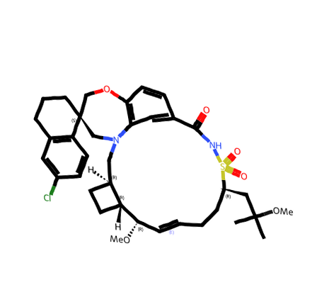 CO[C@H]1/C=C/CC[C@H](CC(C)(C)OC)S(=O)(=O)NC(=O)c2ccc3c(c2)N(C[C@@H]2CC[C@H]21)C[C@@]1(CCCc2cc(Cl)ccc21)CO3